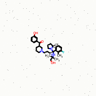 Cc1c(F)cccc1[C@](CCCN1C[CH]CC(C(=O)c2cccc(O)c2)C1)(NC(C)(C)CO)N1CCC[C@H]1C(F)(F)F